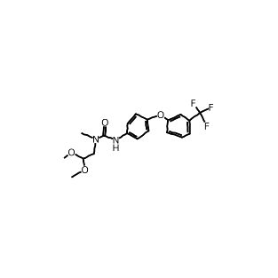 COC(CN(C)C(=O)Nc1ccc(Oc2cccc(C(F)(F)F)c2)cc1)OC